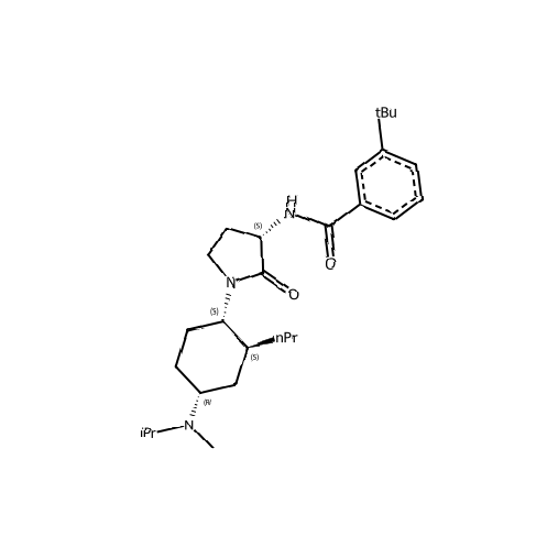 CCC[C@H]1C[C@H](N(C)C(C)C)CC[C@@H]1N1CC[C@H](NC(=O)c2cccc(C(C)(C)C)c2)C1=O